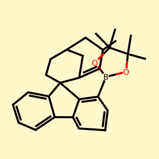 CC1C=C2CC(CCC23c2ccccc2-c2cccc(B4OC(C)(C)C(C)(C)O4)c23)C1